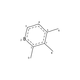 Cc1bccc(C)c1C